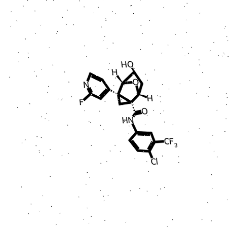 O=C(Nc1ccc(Cl)c(C(F)(F)F)c1)[C@]12C[C@@]1(c1ccnc(F)c1)[C@H]1O[C@@H]2C[C@@H]1O